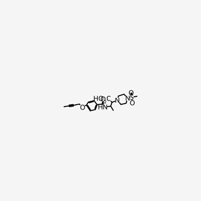 CC#CCOc1ccc(C(=O)NC(C)C(C(=O)O)N2CCN(S(C)(=O)=O)CC2)cc1